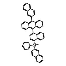 C[Si](c1ccccc1)(c1ccc2ccccc2c1)c1ccc(-c2c3ccccc3c(-c3ccc4ccccc4c3)c3ccccc23)c2ccccc12